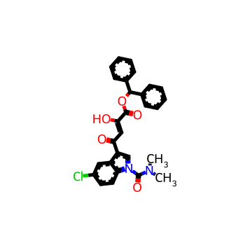 CN(C)C(=O)n1cc(C(=O)C=C(O)C(=O)OC(c2ccccc2)c2ccccc2)c2cc(Cl)ccc21